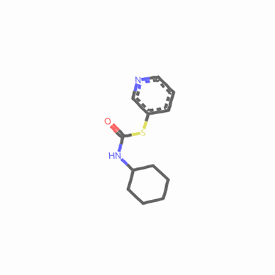 O=C(NC1CCCCC1)Sc1cccnc1